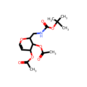 CC(=O)OC1C=COC(CNC(=O)OC(C)(C)C)C1OC(C)=O